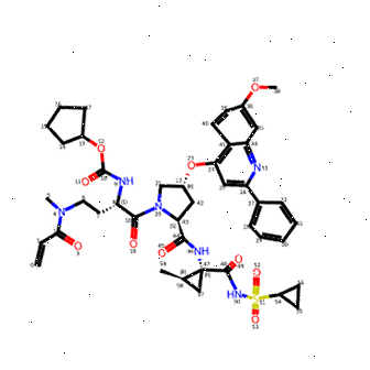 C=CC(=O)N(C)CC[C@H](NC(=O)OC1CCCC1)C(=O)N1C[C@H](Oc2cc(-c3ccccc3)nc3cc(OC)ccc23)C[C@H]1C(=O)N[C@]1(C(=O)NS(=O)(=O)C2CC2)C[C@H]1C